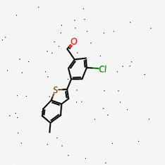 Cc1ccc2sc(-c3cc(Cl)cc(C=O)c3)cc2c1